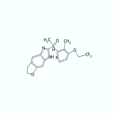 Cc1c(OCC(F)(F)F)ccnc1[SH](C)(=O)c1nc2cc3c(cc2[nH]1)OCC3